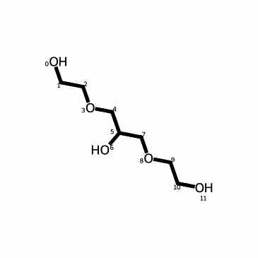 OCCO[CH]C(O)COCCO